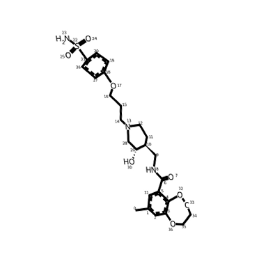 Cc1cc2c(c(C(=O)NC[C@@H]3CCN(CCCOc4ccc(S(N)(=O)=O)cc4)C[C@H]3O)c1)OCCCO2